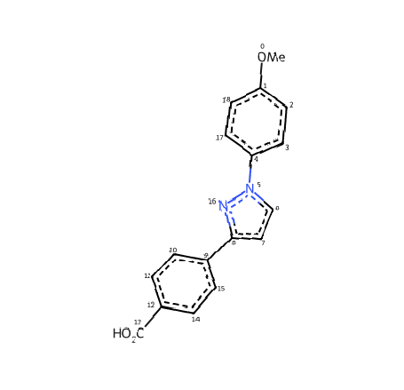 COc1ccc(-n2ccc(-c3ccc(C(=O)O)cc3)n2)cc1